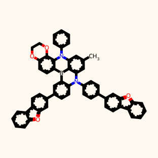 Cc1cc2c3c(c1)N(c1ccccc1)c1c(ccc4c1OCCO4)B3c1cc(-c3ccc4c(c3)oc3ccccc34)ccc1N2c1ccc(-c2ccc3c(c2)oc2ccccc23)cc1